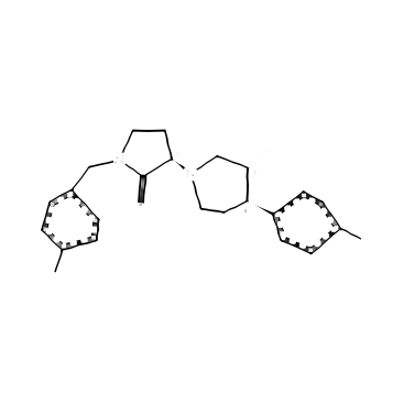 Cc1ccc(CN2CC[C@@H](N3CC[C@H](c4ccc(C)cc4)[C@@H](F)C3)C2=O)cc1